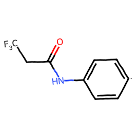 O=C(CC(F)(F)F)Nc1cc[c]cc1